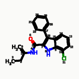 C=C(CC)NC(=O)c1[nH]c2c(Cl)cccc2c1-c1ccccc1